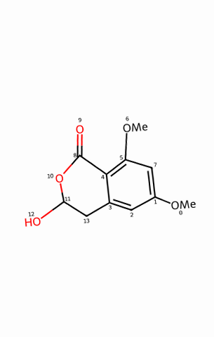 COc1cc2c(c(OC)c1)C(=O)OC(O)C2